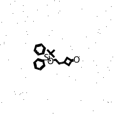 CC(C)(C)[Si](OCCC1CC(=O)C1)(c1ccccc1)c1ccccc1